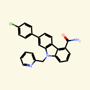 NC(=O)c1cccc2c1c1[c]cc(-c3ccc(Cl)cc3)cc1n2Cc1ccccn1